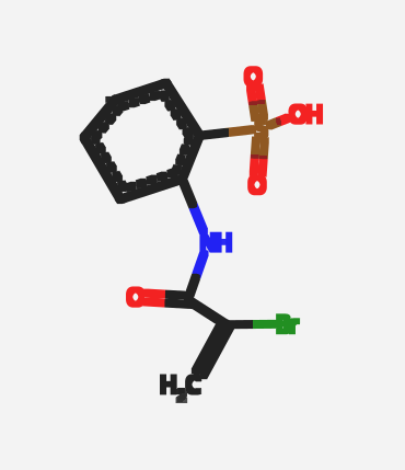 C=C(Br)C(=O)Nc1cc[c]cc1S(=O)(=O)O